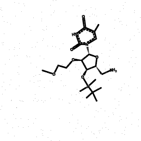 COCCO[C@@H]1[C@H](O[Si](C)(C)C(C)(C)C)[C@@H](CN)O[C@H]1n1cc(C)c(=O)[nH]c1=O